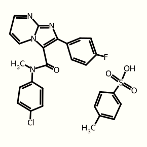 CN(C(=O)c1c(-c2ccc(F)cc2)nc2ncccn12)c1ccc(Cl)cc1.Cc1ccc(S(=O)(=O)O)cc1